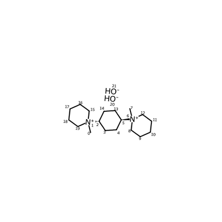 C[N+]1([C@H]2CC[C@H]([N+]3(C)CCCCC3)CC2)CCCCC1.[OH-].[OH-]